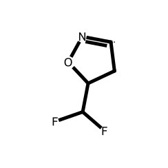 FC(F)C1C[C]=NO1